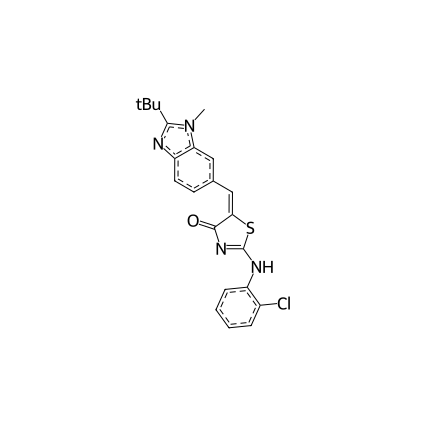 Cn1c(C(C)(C)C)nc2ccc(C=C3SC(Nc4ccccc4Cl)=NC3=O)cc21